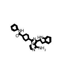 Nc1nccn2c(C3CCC(C(=O)Nc4ccccc4)CC3)nc(C3Cc4ccccc4N3)c12